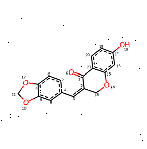 O=C1C(=Cc2ccc3c(c2)OCO3)COc2cc(O)ccc21